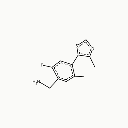 Cc1cc(CN)c(F)cc1-c1scnc1C